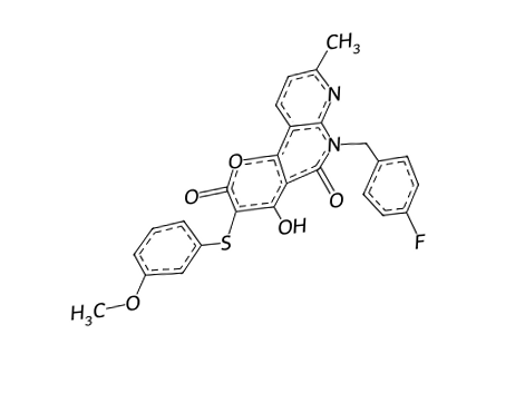 COc1cccc(Sc2c(O)c3c(=O)n(Cc4ccc(F)cc4)c4nc(C)ccc4c3oc2=O)c1